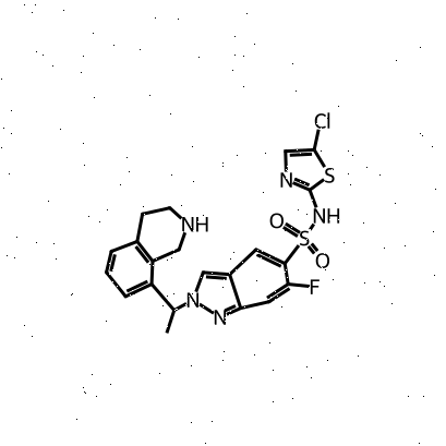 CC(c1cccc2c1CNCC2)n1cc2cc(S(=O)(=O)Nc3ncc(Cl)s3)c(F)cc2n1